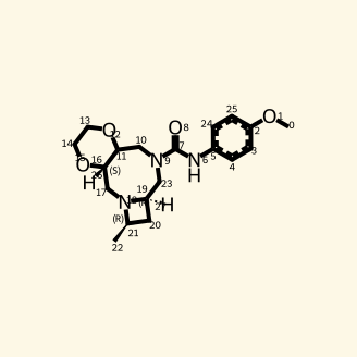 COc1ccc(NC(=O)N2CC3OCCO[C@H]3CN3[C@H](C[C@H]3C)C2)cc1